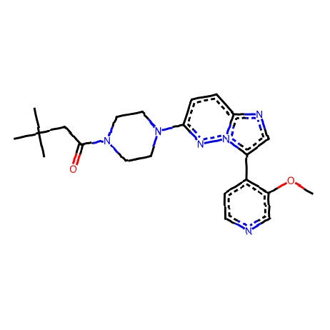 COc1cnccc1-c1cnc2ccc(N3CCN(C(=O)CC(C)(C)C)CC3)nn12